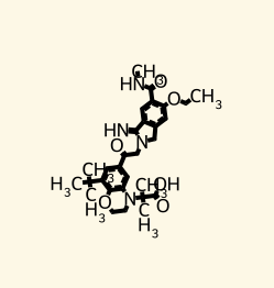 CCOc1cc2c(cc1C(=O)NC)C(=N)N(CC(=O)c1cc3c(c(C(C)(C)C)c1)OCCN3C(C)(C)C(=O)O)C2